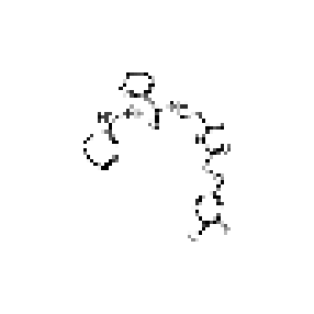 C=C(CCNC(=O)c1cccnc1NNC1=CC=CCCC1)NC(=O)COc1ccc(Cl)c(F)c1